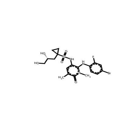 Cc1cc(NS(=O)(=O)C2(C[C@@H](O)CO)CC2)c(Nc2ccc(Br)cc2F)n(C)c1=O